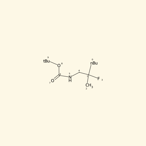 CCCCC(C)(F)CNC(=O)OC(C)(C)C